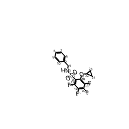 O=S(=O)(NCc1ccccc1)c1c(F)c(F)c(F)c(F)c1OC1CC1